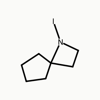 IN1CCC12CCCC2